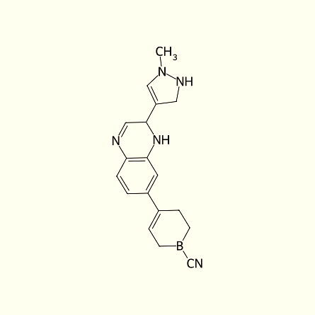 CN1C=C(C2C=Nc3ccc(C4=CCB(C#N)CC4)cc3N2)CN1